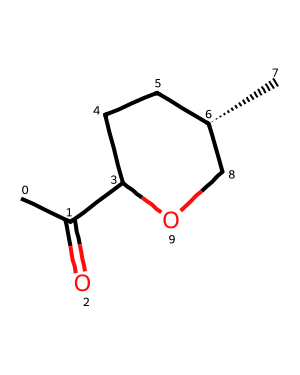 CC(=O)C1CC[C@H](C)CO1